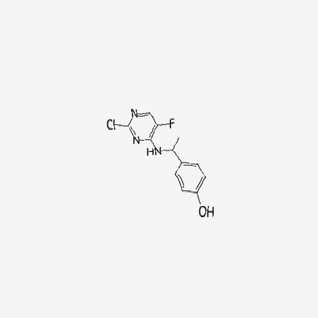 CC(Nc1nc(Cl)ncc1F)c1ccc(O)cc1